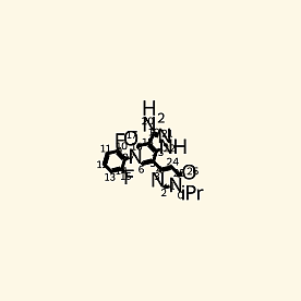 CC(C)n1cnc(-c2cn(-c3c(F)cccc3F)c(=O)c3c(N)n[nH]c23)cc1=O